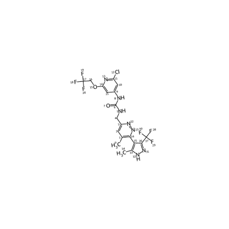 Cc1cc(CNC(=O)Nc2cc(Cl)nc(OCC(F)(F)F)c2)nnc1-c1c(C(F)(F)F)n[nH]c1C